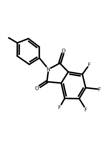 Cc1ccc(N2C(=O)c3c(F)c(F)c(F)c(F)c3C2=O)cc1